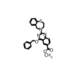 COC(=O)c1ccc2nc(N3CCSc4ccccc4C3)nc(OCc3ccccc3)c2c1